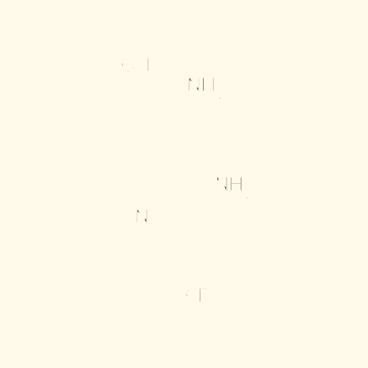 Nc1cc(-c2ncc(C(F)(F)F)cc2N)ccc1O